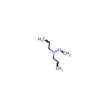 C=CCN(CC=C)N=C